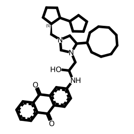 O=C1c2ccccc2C(=O)c2cc(NC(O)CN3CN(C[C@H]4CCCC4C4CCCC4)CC3C3CCCCCCCC3)ccc21